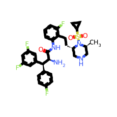 C[C@@H]1CNC[C@H](CCc2c(F)cccc2NC(=O)[C@@H](N)[C@@H](c2ccc(F)cc2)c2cc(F)cc(F)c2)N1S(=O)(=O)C1CC1